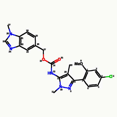 COc1cc(Cl)ccc1-c1nn(C)c(NC(=O)OCc2ccc3c(c2)ncn3C)c1C